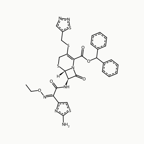 CCO/N=C(\C(=O)N[C@@H]1C(=O)N2C(C(=O)OC(c3ccccc3)c3ccccc3)=C(SCc3cnns3)CS[C@@H]12)c1csc(N)n1